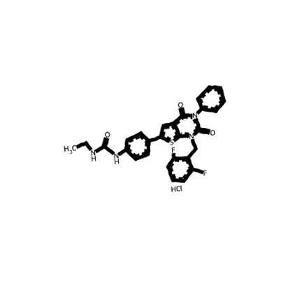 CCNC(=O)Nc1ccc(-c2cc3c(=O)n(-c4ccccc4)c(=O)n(Cc4c(F)cccc4F)c3s2)cc1.Cl